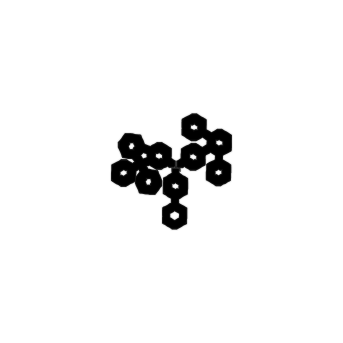 c1ccc(-c2cccc(-c3ccccc3)c2-c2ccc(N(c3ccc(C4CCCCC4)cc3)c3ccc4c(c3)C(c3ccccc3)(c3ccccc3)c3ccccc3-4)cc2)cc1